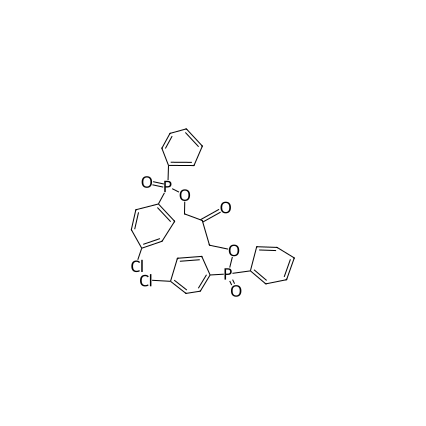 O=C(COP(=O)(c1ccccc1)c1ccc(Cl)cc1)COP(=O)(c1ccccc1)c1ccc(Cl)cc1